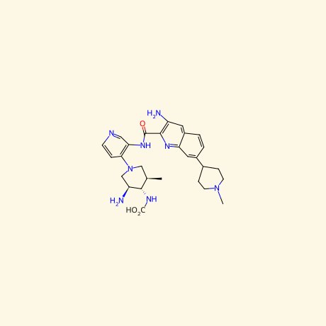 C[C@@H]1CN(c2ccncc2NC(=O)c2nc3cc(C4CCN(C)CC4)ccc3cc2N)C[C@H](N)[C@H]1NC(=O)O